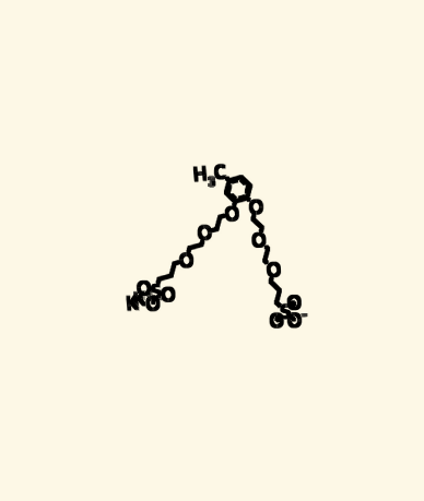 Cc1ccc(OCCOCCOCCCS(=O)(=O)[O-])c(OCCOCCOCCCS(=O)(=O)[O-])c1.[K+].[K+]